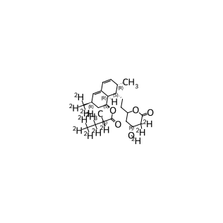 [2H]O[C@@H]1CC(CC[C@@H]2[C@@H]3C(=C[C@H](C([2H])([2H])[2H])C[C@@H]3OC(=O)[C@@]([2H])(C)C([2H])([2H])C([2H])([2H])[2H])C=C[C@@H]2C)OC(=O)C1([2H])[2H]